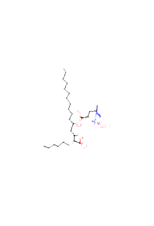 CCCCCCCCCCCC(CC1OC(=O)[C@H]1CCCCCC)OC(=O)[C@H](CNO)CC(C)C